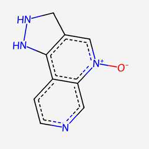 [O-][n+]1cc2c(c3ccncc31)NNC2